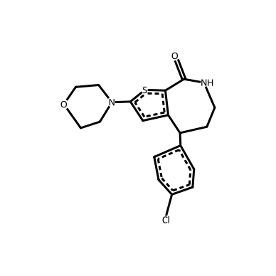 O=C1NCCC(c2ccc(Cl)cc2)c2cc(N3CCOCC3)sc21